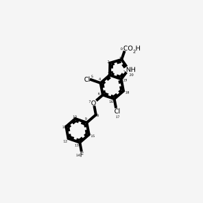 O=C(O)c1cc2c(Cl)c(OCc3cccc(F)c3)c(Cl)cc2[nH]1